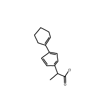 CC(C(=O)Cl)c1ccc(C2=CCCCC2)cc1